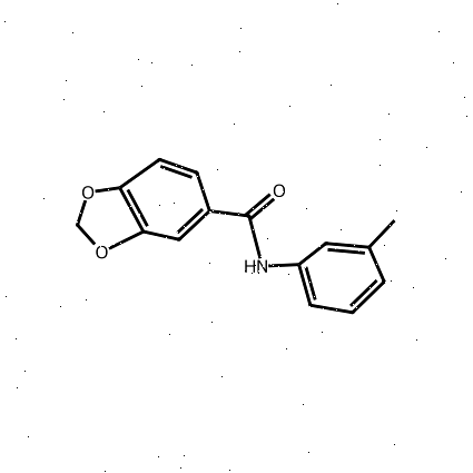 Cc1cccc(NC(=O)c2ccc3c(c2)OCO3)c1